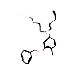 CCCCN(CCCCO)c1ccc(C)c(OCc2ccccc2)c1